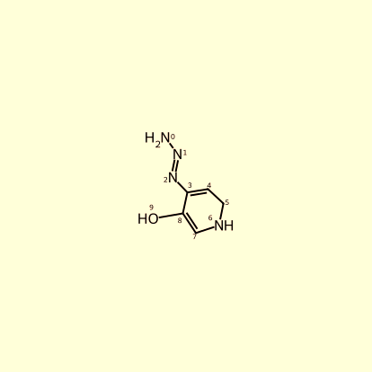 NN=NC1=CCNC=C1O